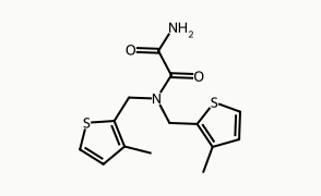 Cc1ccsc1CN(Cc1sccc1C)C(=O)C(N)=O